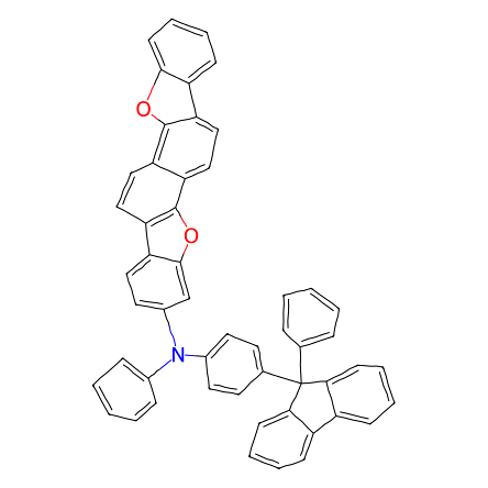 c1ccc(N(c2ccc(C3(c4ccccc4)c4ccccc4-c4ccccc43)cc2)c2ccc3c(c2)oc2c3ccc3c2ccc2c4ccccc4oc23)cc1